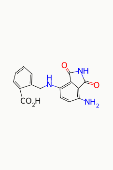 Nc1ccc(NCc2ccccc2C(=O)O)c2c1C(=O)NC2=O